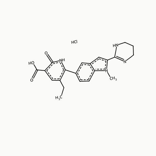 CCc1cc(C(=O)O)c(=O)[nH]c1-c1ccc2c(c1)cc(C1=NCCCN1)n2C.Cl